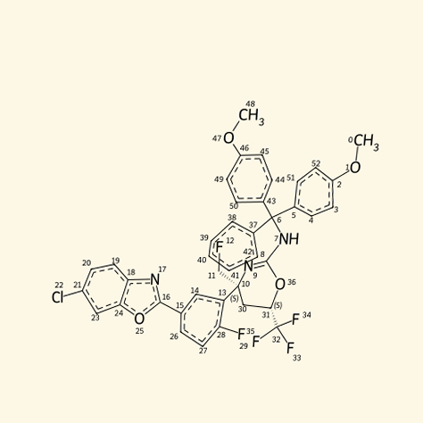 COc1ccc(C(NC2=N[C@](CF)(c3cc(-c4nc5ccc(Cl)cc5o4)ccc3F)C[C@@H](C(F)(F)F)O2)(c2ccccc2)c2ccc(OC)cc2)cc1